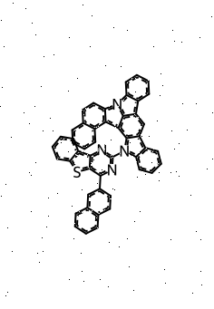 c1ccc2cc(-c3nc(-n4c5ccccc5c5cc6c7ccccc7n7c8ccc9ccccc9c8c(c54)c67)nc4c3sc3ccccc34)ccc2c1